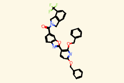 O=C(c1ccc2nc(-c3ccc(OCc4ccccc4)nc3OCc3ccccc3)oc2c1)N1Cc2cccc(C(F)(F)F)c2C1